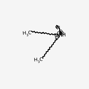 CCCCCCCCC=CCCCCCCCCOCC(COCCCCCCCCC=CCCCCCCCC)NS(=O)(=O)OCCN1CCCC1